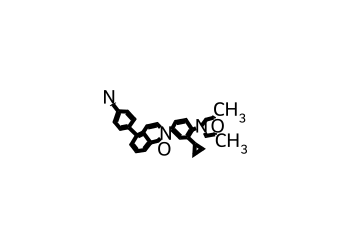 CC1CN(c2ccc(-n3ccc4c(-c5ccc(C#N)cc5)cccc4c3=O)cc2C2CC2)CC(C)O1